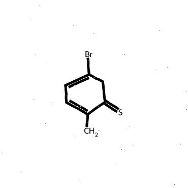 [CH2]C1=CC=C(Br)CC1=S